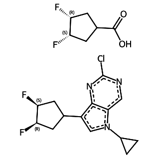 F[C@@H]1CC(c2cn(C3CC3)c3cnc(Cl)nc23)C[C@@H]1F.O=C(O)C1C[C@@H](F)[C@@H](F)C1